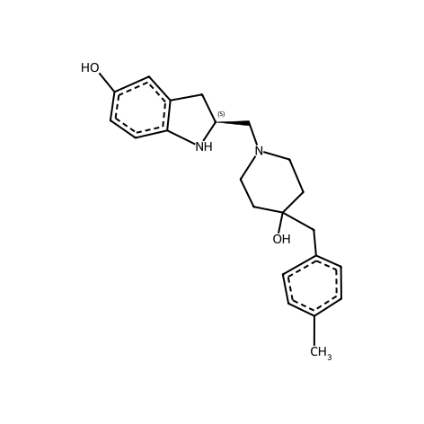 Cc1ccc(CC2(O)CCN(C[C@@H]3Cc4cc(O)ccc4N3)CC2)cc1